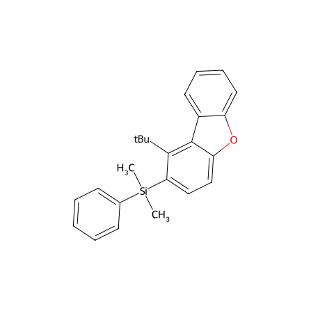 CC(C)(C)c1c([Si](C)(C)c2ccccc2)ccc2oc3ccccc3c12